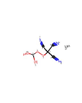 N#CC(C#N)(C#N)OOB(O)O.[LiH]